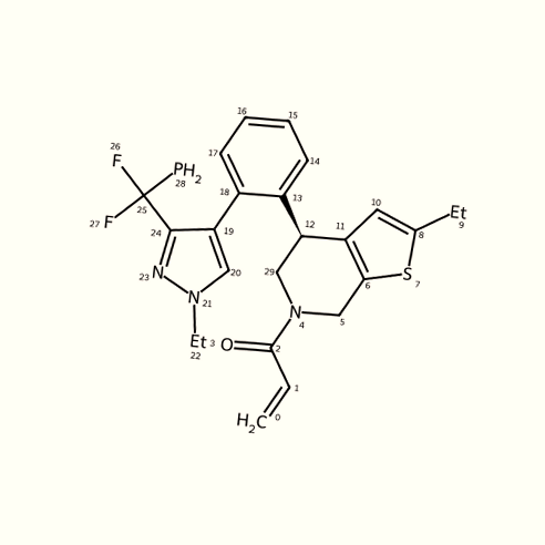 C=CC(=O)N1Cc2sc(CC)cc2[C@H](c2ccccc2-c2cn(CC)nc2C(F)(F)P)C1